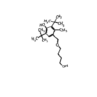 Cc1c(COCCCCO)cc(C(C)(C)C)c(O)c1C(C)(C)C